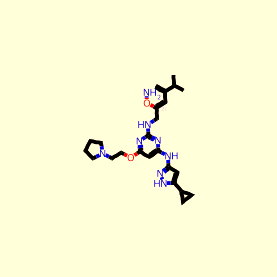 C=C(/C=C(/CNc1nc(Nc2cc(C3CC3)[nH]n2)cc(OCCN2CCCC2)n1)ON)C(C)C